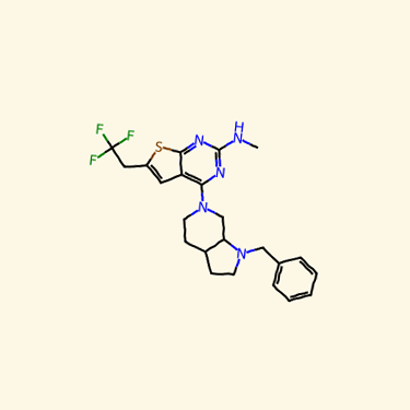 CNc1nc(N2CCC3CCN(Cc4ccccc4)C3C2)c2cc(CC(F)(F)F)sc2n1